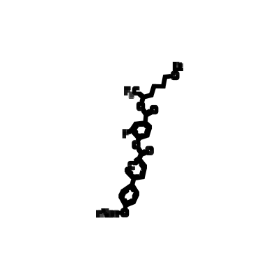 CCCCCCCCCOc1ccc(-c2ccc(C(=O)Oc3ccc(C(=O)OC(CCCCOCC)C(F)(F)F)cc3F)cc2)cc1